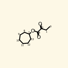 CCC(=O)C(=O)OC1CCCCCC1